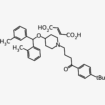 Cc1cccc(C(OC2CCN(CCCC(=O)c3ccc(C(C)(C)C)cc3)CC2)c2ccccc2C)c1.O=C(O)/C=C/C(=O)O